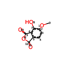 COc1ccc2c(c1O)C(=O)OC2=O